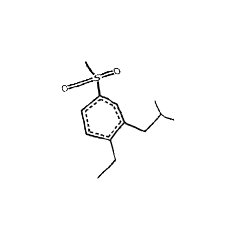 CCc1ccc(S(C)(=O)=O)cc1CC(C)C